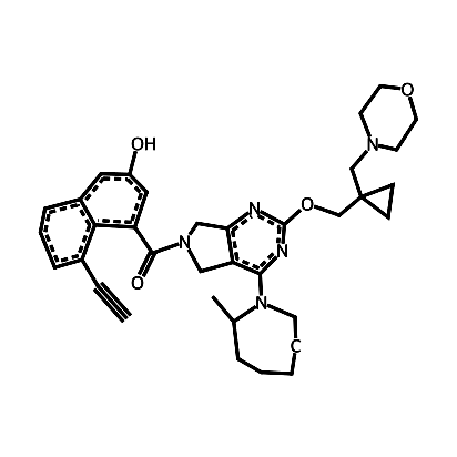 C#Cc1cccc2cc(O)cc(C(=O)N3Cc4nc(OCC5(CN6CCOCC6)CC5)nc(N5CCCCCC5C)c4C3)c12